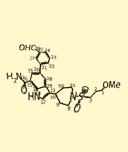 COCCCS(=O)(=O)N1CCC(c2c[nH]c3c(C(N)=O)cc(-c4cccc(C=O)c4)cc23)CC1